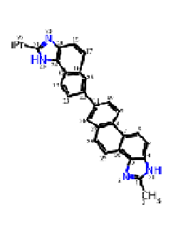 Cc1nc2c(ccc3c4ccc(-c5ccc6c(ccc7nc(C(C)C)[nH]c76)c5)cc4ccc32)[nH]1